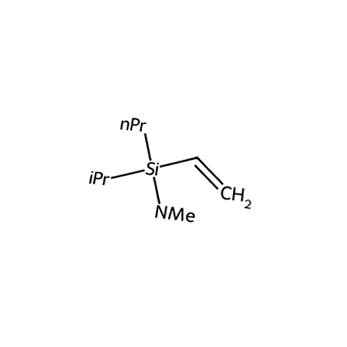 C=C[Si](CCC)(NC)C(C)C